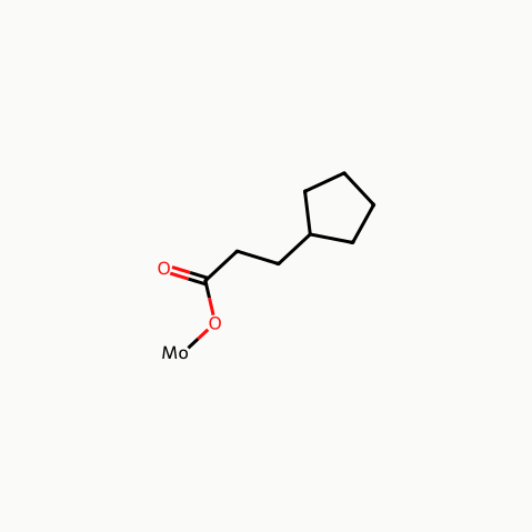 O=C(CCC1CCCC1)[O][Mo]